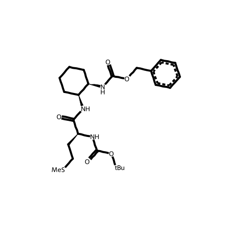 CSCC[C@H](NC(=O)OC(C)(C)C)C(=O)N[C@H]1CCCC[C@H]1NC(=O)OCc1ccccc1